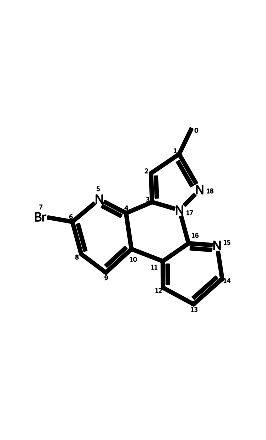 Cc1cc2c3nc(Br)ccc3c3cccnc3n2n1